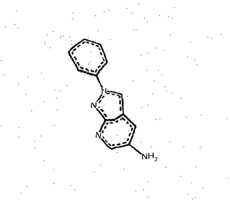 Nc1cnc2nn(-c3ccccc3)cc2c1